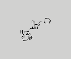 O=C(NCC1C[C@H]2CCC[C@@H](C1)C2=O)OCc1ccccc1